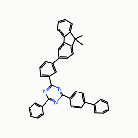 CC1(C)c2ccccc2-c2cc(-c3cccc(-c4nc(-c5ccccc5)nc(-c5ccc(-c6ccccc6)cc5)n4)c3)ccc21